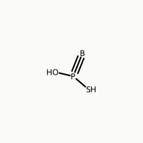 B#P(O)S